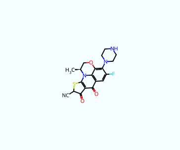 C[C@H]1COc2c(N3CCNCC3)c(F)cc3c(=O)c4c(n1c23)SC(C#N)C4=O